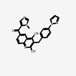 Cn1cncc1C(=O)c1ccc2nc(C#N)c(Cc3ccc(-n4cccn4)cc3)c(C#N)c2c1